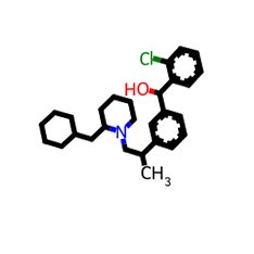 CC(CN1CCCCC1CC1CCCCC1)c1cccc(C(O)c2ccccc2Cl)c1